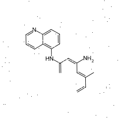 C=C/C(C)=C/C(N)=C\C(=C)Nc1cccc2ncccc12